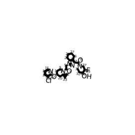 O=C(c1nn(CC(=O)N2CCC(Oc3ncccc3Cl)CC23CC3)c2c1CCCC2)N1CC[C@@H](O)[C@@H](F)C1